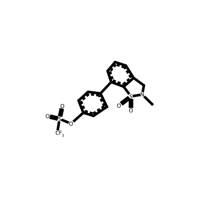 CN1Cc2cccc(-c3ccc(OS(=O)(=O)C(F)(F)F)cc3)c2S1(=O)=O